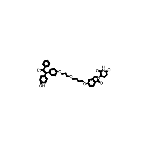 CCC(=C(c1ccc(O)cc1)c1ccc(OCCCOCCCCOc2ccc3c(c2)CN(C2CCC(=O)NC2=O)C3=O)cc1)c1ccccc1